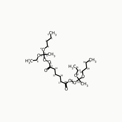 CCCCOC(C)(OCC)OOC(=O)CCCCC(=O)OOC(C)(OCC)OCCCC